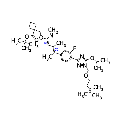 C=N/C(=C\C(C)=C(/C)c1ccc(-c2nc(OC(C)C)n(COCC[Si](C)(C)C)n2)c(F)c1)OCC1(C(=O)OC(C)(C)C)CCC1